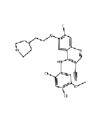 COc1cc(Nc2c(C#N)cnc3cc(F)c(OCCN4CCOCC4)cc23)c(Cl)cc1Cl